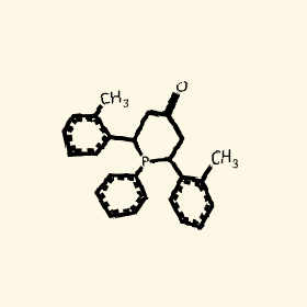 Cc1ccccc1C1CC(=O)CC(c2ccccc2C)P1c1ccccc1